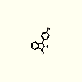 O=C1NC(c2ccc(Br)cc2)c2ccccc21